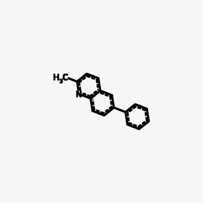 Cc1ccc2cc(-c3ccccc3)ccc2n1